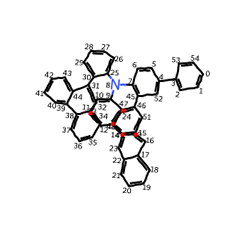 c1ccc(-c2ccc(N(c3cccc(-c4ccc5ccccc5c4)c3)c3ccccc3-c3cc4ccccc4c4ccccc34)c(-c3ccccc3)c2)cc1